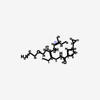 CCC(CNC(=O)c1cnn(C2CC2)c1)=C(N/C=C(/C)CC)[C@@H](C)COCCN